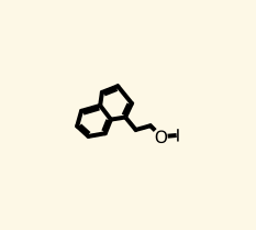 IOCCc1cccc2ccccc12